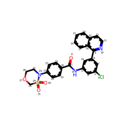 O=C(Nc1cc(Cl)cc(-c2nccc3ccccc23)c1)c1ccc(N2CCOCS2(=O)=O)cc1